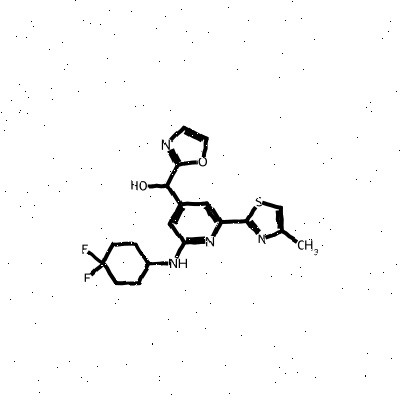 Cc1csc(-c2cc(C(O)c3ncco3)cc(NC3CCC(F)(F)CC3)n2)n1